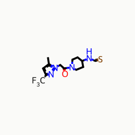 Cc1cc(C(F)(F)F)nn1CC(=O)N1CCC(NC=S)CC1